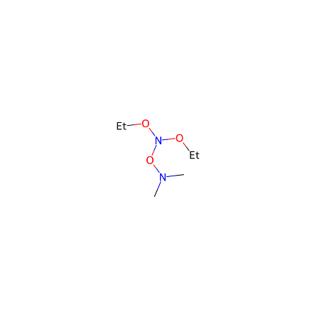 CCON(OCC)ON(C)C